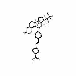 COC(=O)c1ccc(C=Cc2ccc([C@H]3C[C@@]4(C)[C@@H](CC[C@@]4(O)C(F)(F)C(F)(F)F)[C@@H]4CCC5=CC(=O)CCC5=C43)cc2)cc1